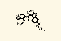 CNC(=O)[C@H]1CCc2c(sc3ncnc(Nc4ccn5nccc5c4OC)c23)C1